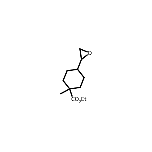 CCOC(=O)C1(C)CCC(C2CO2)CC1